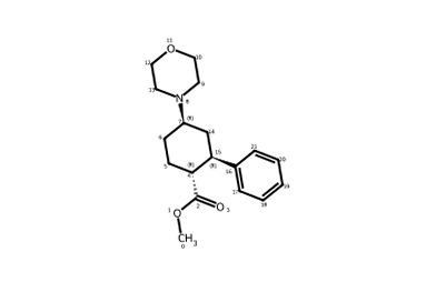 COC(=O)[C@@H]1CC[C@@H](N2CCOCC2)C[C@H]1c1ccccc1